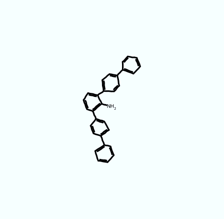 Nc1c(-c2ccc(-c3ccccc3)cc2)cccc1-c1ccc(-c2ccccc2)cc1